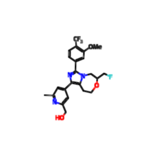 COc1cc(-c2nc(-c3cc(C)nc(CO)c3)c3n2CC(CF)OCC3)ccc1C(F)(F)F